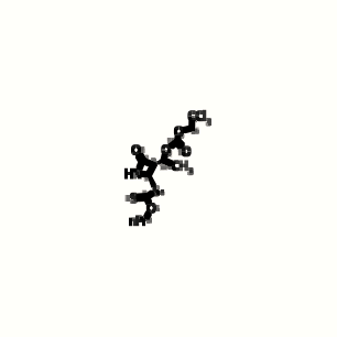 CCCOC(=S)S[C@H]1NC(=O)[C@@H]1C(C)OC(=O)OCC(Cl)(Cl)Cl